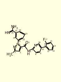 Cc1cc(C(=O)Nc2ccc(-c3ccccc3F)cn2)n(-c2cccc(C(=N)N)c2)n1